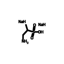 CC(CN)S(=O)(=O)O.[NaH].[NaH]